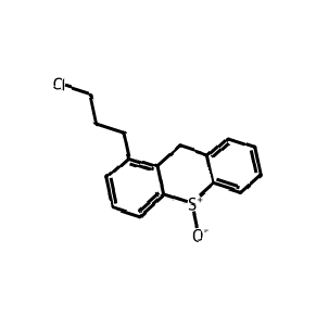 [O-][S+]1c2ccccc2Cc2c(CCCCl)cccc21